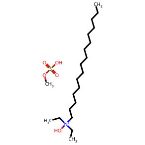 CCCCCCCCCCCCCCCC[N+](O)(CC)CC.COS(=O)(=O)O